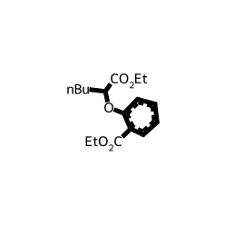 CCCCC(Oc1ccccc1C(=O)OCC)C(=O)OCC